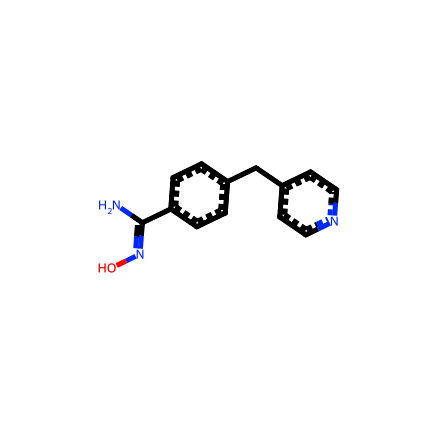 NC(=NO)c1ccc(Cc2ccncc2)cc1